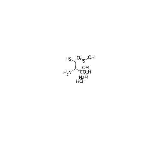 Cl.NC(CS)C(=O)O.O=S(O)O.[NaH]